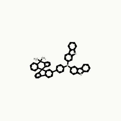 CC1(C)c2ccccc2C2(c3ccccc3-c3ccc(-c4ccc(N(c5ccc6c(c5)sc5ccccc56)c5ccc6sc7ccccc7c6c5)cc4)cc32)c2ccccc21